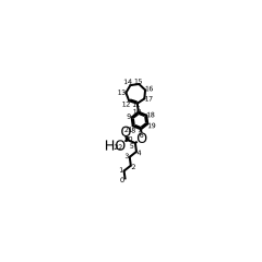 CCCCCC(Oc1ccc(C2=CCCCCC2)cc1)C(=O)O